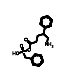 NCC(CCC(=O)OP(=O)(O)Cc1ccccc1)c1ccccc1